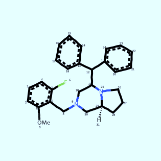 COc1cccc(F)c1CN1CC(C(c2ccccc2)c2ccccc2)N2CCC[C@H]2C1